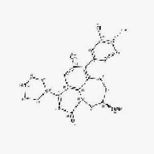 CO[C@@H]1CSc2c(-c3ccc(F)c(Cl)c3)c(C(F)(F)F)cc3c(N4CCNCC4)nc(=O)n(c23)C1